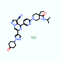 CCC1(C(=O)NC(C)C)CCN(c2ccc(-c3nc(-c4cnn(C5CCC(=O)CC5)c4)cn4ncc(C#N)c34)cn2)CC1.Cl